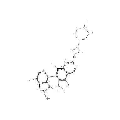 N#Cc1c(N)sc2c(F)cnc(-c3c4c(c5cnc(N6CC(N7CCC(O)CC7)C6)nc5c3F)COC4)c12